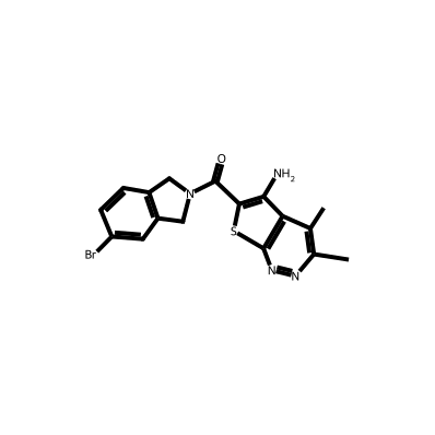 Cc1nnc2sc(C(=O)N3Cc4ccc(Br)cc4C3)c(N)c2c1C